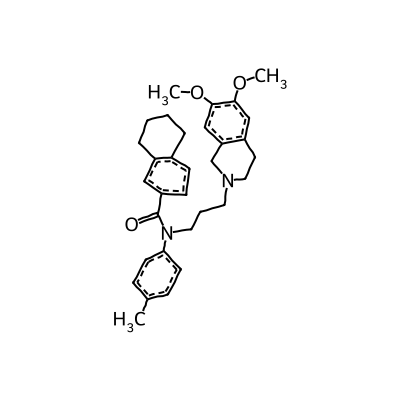 COc1cc2c(cc1OC)CN(CCCN(C(=O)c1ccc3c(c1)CCCC3)c1ccc(C)cc1)CC2